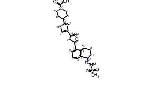 CC(=O)N1CCC(c2nc(C3=NOC(c4cccc5c4CCC/C5=N\NS(C)(=O)=O)C3)cs2)CC1